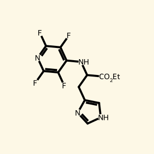 CCOC(=O)C(Cc1c[nH]cn1)Nc1c(F)c(F)nc(F)c1F